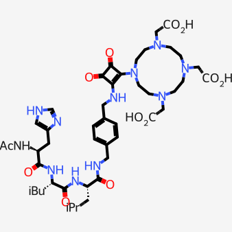 CCC(C)[C@H](NC(=O)[C@H](Cc1c[nH]cn1)NC(C)=O)C(=O)N[C@@H](CC(C)C)C(=O)NCc1ccc(CNc2c(N3CCN(CC(=O)O)CCN(CC(=O)O)CCN(CC(=O)O)CC3)c(=O)c2=O)cc1